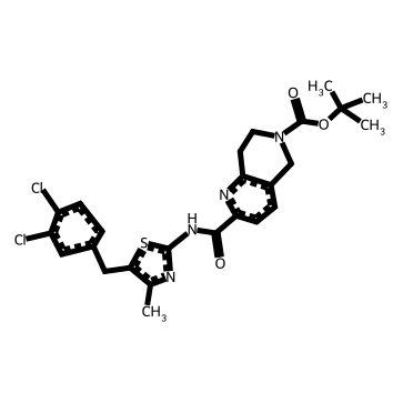 Cc1nc(NC(=O)c2ccc3c(n2)CCN(C(=O)OC(C)(C)C)C3)sc1Cc1ccc(Cl)c(Cl)c1